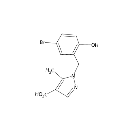 Cc1c(C(=O)O)cnn1Cc1cc(Br)ccc1O